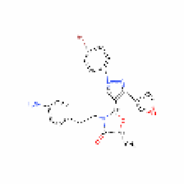 C[C@H]1O[C@H](c2cn(-c3ccc(Br)cc3)nc2-c2ccoc2)N(CCc2ccc(N)cc2)C1=O